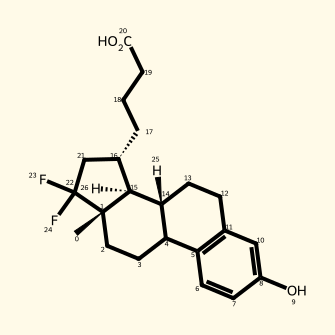 C[C@]12CCC3c4ccc(O)cc4CC[C@H]3[C@@H]1[C@@H](CCCC(=O)O)CC2(F)F